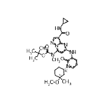 CO[C@]1(C)CCC[C@H](n2cccc(Nc3cc(N(C)C(=O)OC(C)(C)C)n4ncc(C(=O)NC5CC5)c4n3)c2=O)C1